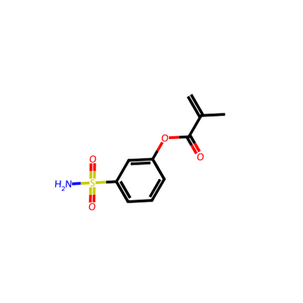 C=C(C)C(=O)Oc1cccc(S(N)(=O)=O)c1